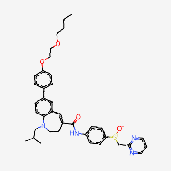 CCCCOCCOc1ccc(-c2ccc3c(c2)C=C(C(=O)Nc2ccc([S+]([O-])Cc4ncccn4)cc2)CCN3CC(C)C)cc1